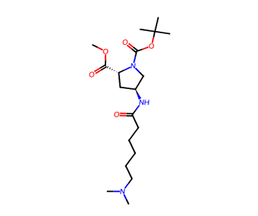 COC(=O)[C@H]1C[C@H](NC(=O)CCCCCN(C)C)CN1C(=O)OC(C)(C)C